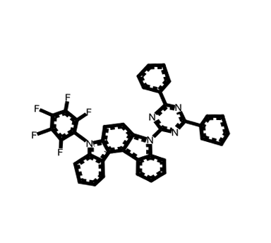 Fc1c(F)c(F)c(-n2c3ccccc3c3c4c5ccccc5n(-c5nc(-c6ccccc6)nc(-c6ccccc6)n5)c4ccc32)c(F)c1F